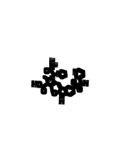 Cc1c(C(=O)O)c(C)n(C(C(N)=O)N2CCCC2)c1C=C1C(=O)Nc2ccc(S(=O)(=O)Nc3cccnc3)cc21